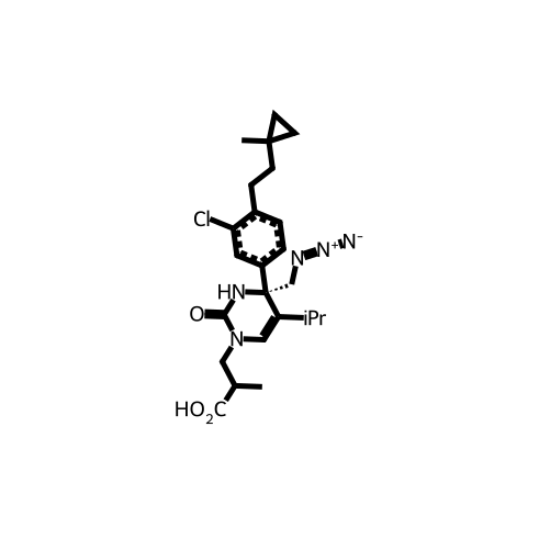 CC(C)C1=CN(CC(C)C(=O)O)C(=O)N[C@@]1(CN=[N+]=[N-])c1ccc(CCC2(C)CC2)c(Cl)c1